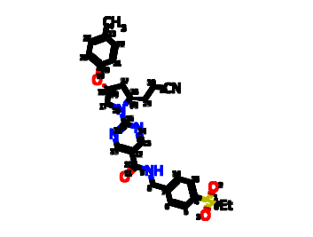 CCS(=O)(=O)c1ccc(CNC(=O)c2cnc(N3C[C@H](Oc4ccc(C)cc4)C[C@H]3CCC#N)nc2)cc1